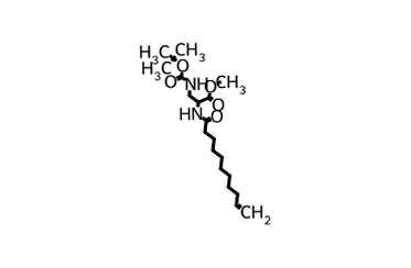 C=CCCCCCCCCC(=O)NC(CNC(=O)OC(C)(C)C)C(=O)OC